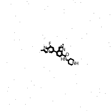 Cc1cn2cc(-c3ccc(C(=O)NC4CCNCC4)c4nn(C)cc34)cc(F)c2n1